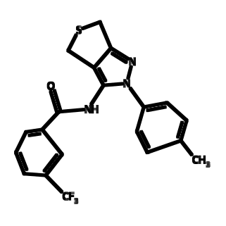 Cc1ccc(-n2nc3c(c2NC(=O)c2cccc(C(F)(F)F)c2)CSC3)cc1